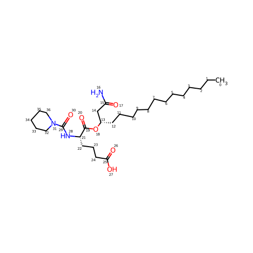 CCCCCCCCCCCCC[C@@H](CC(N)=O)OC(=O)[C@H](CCCC(=O)O)NC(=O)N1CCCCC1